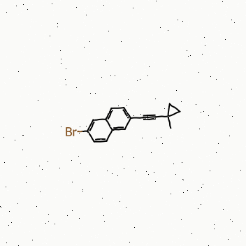 CC1(C#Cc2ccc3cc(Br)ccc3c2)CC1